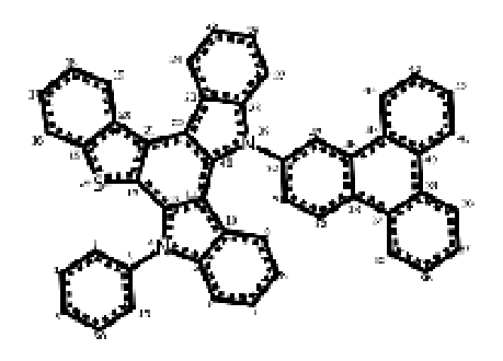 c1ccc(-n2c3ccccc3c3c2c2sc4ccccc4c2c2c4ccccc4n(-c4ccc5c6ccccc6c6ccccc6c5c4)c23)cc1